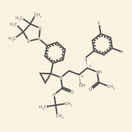 CC(=O)N[C@@H](Cc1cc(F)cc(F)c1)[C@H](O)CN(C(=O)OC(C)(C)C)C1(c2cccc(B3OC(C)(C)C(C)(C)O3)c2)CC1